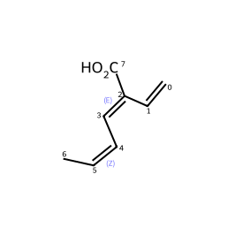 C=C/C(=C\C=C/C)C(=O)O